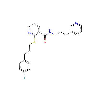 O=C(NCCCc1cccnc1)c1cccnc1SCCCc1ccc(F)cc1